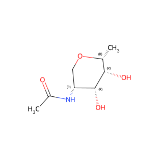 CC(=O)N[C@@H]1CO[C@H](C)[C@H](O)[C@@H]1O